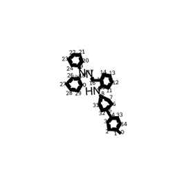 Cc1ccc(-c2ccc(Nc3ccccc3C=NN(c3ccccc3)c3ccccc3)cc2)cc1